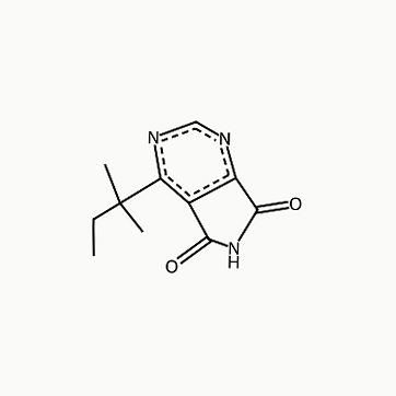 CCC(C)(C)c1ncnc2c1C(=O)NC2=O